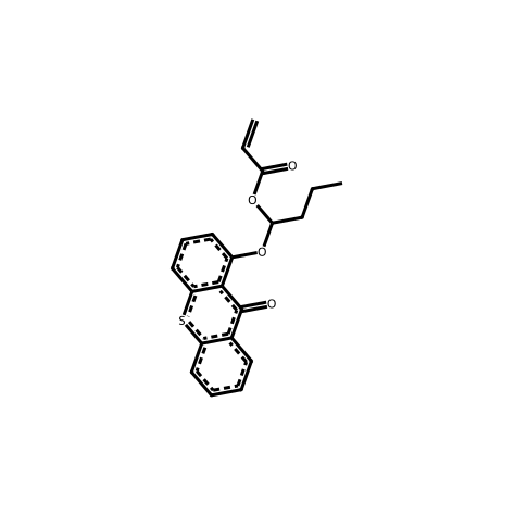 C=CC(=O)OC(CCC)Oc1cccc2sc3ccccc3c(=O)c12